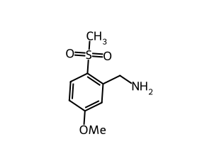 COc1ccc(S(C)(=O)=O)c(CN)c1